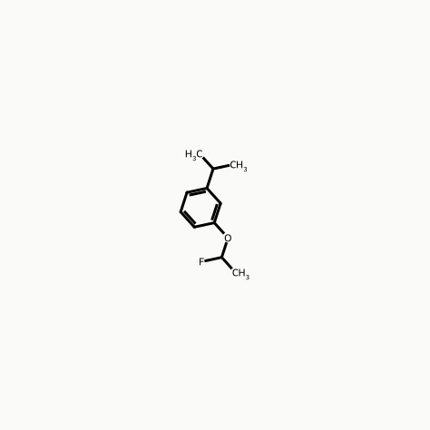 CC(F)Oc1cccc(C(C)C)c1